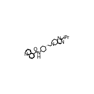 CC(C)c1ncc2c(n1)CCN(CC[C@H]1CC[C@H](NC(=O)c3cccc4ncccc34)CC1)C2